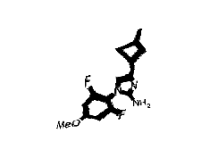 COc1cc(F)c(-n2cc(C3CC(C)C3)nc2N)c(F)c1